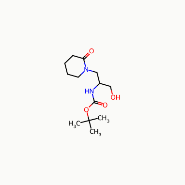 CC(C)(C)OC(=O)NC(CO)CN1CCCCC1=O